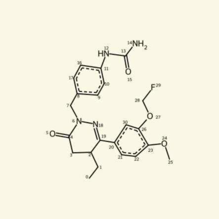 CCC1CC(=O)N(Cc2ccc(NC(N)=O)cc2)N=C1c1ccc(OC)c(OCF)c1